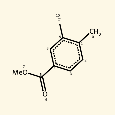 [CH2]c1ccc(C(=O)OC)cc1F